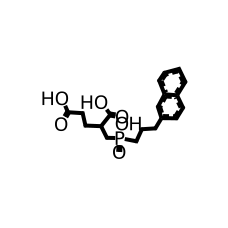 O=C(O)CCC(CP(=O)(O)CCCc1ccc2ccccc2c1)C(=O)O